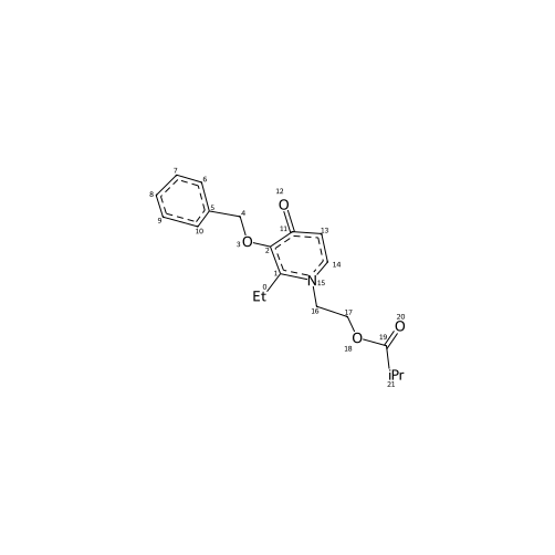 CCc1c(OCc2ccccc2)c(=O)ccn1CCOC(=O)C(C)C